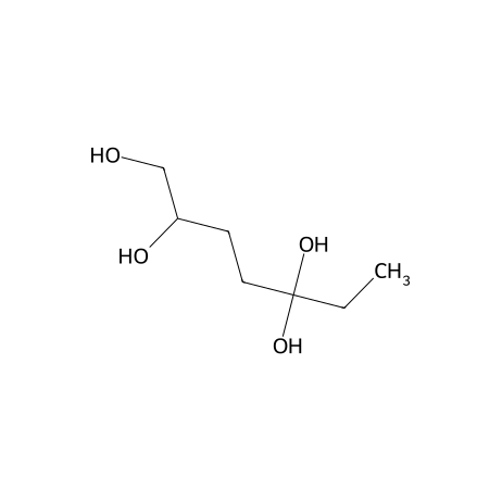 CCC(O)(O)CCC(O)CO